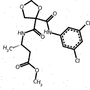 COC(=O)C[C@H](C)NC(=O)C1(C(=O)Nc2cc(Cl)cc(Cl)c2)COCO1